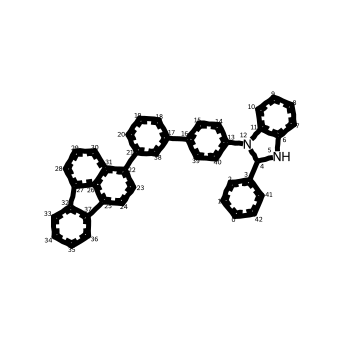 c1ccc(C2Nc3ccccc3N2c2ccc(-c3cccc(-c4ccc5c6c(cccc46)-c4ccccc4-5)c3)cc2)cc1